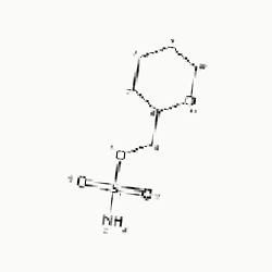 NS(=O)(=O)OCC1CCCCO1